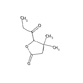 CCC(=O)C1OC(=O)CC1(C)C